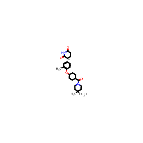 Cc1cc([C@H]2CCC(=O)NC2=O)ccc1OC1CCC(C(=O)N2CCC(C)(C(=O)O)CC2)CC1